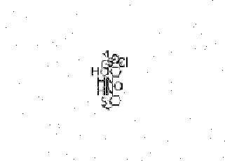 O=C(Nc1ccc(Cl)c(S(=O)(=O)C2CC2)c1O)N[C@H]1CCCc2ccsc21